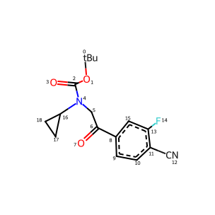 CC(C)(C)OC(=O)N(CC(=O)c1ccc(C#N)c(F)c1)C1CC1